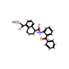 O=C(O)C(=O)c1cccc2c1CCCC2C(=O)Nc1ccccc1C(=O)c1ccccc1